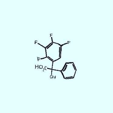 O=C(O)C(O)(c1ccccc1)c1cc(F)c(F)c(F)c1F